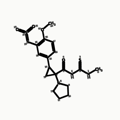 CNC(=S)NC(=O)C1(N2CCCC2)CC1c1ccc(OC)c(N=S(=O)=O)c1